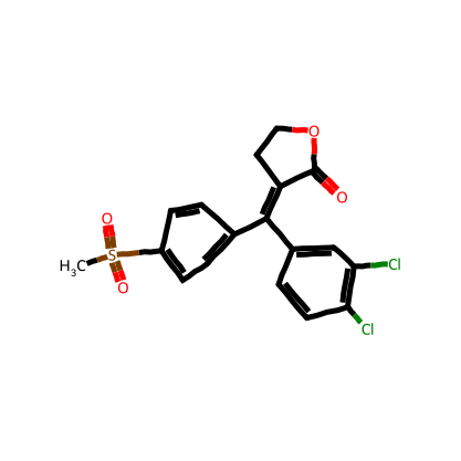 CS(=O)(=O)c1ccc(C(=C2CCOC2=O)c2ccc(Cl)c(Cl)c2)cc1